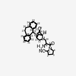 N#CC1CCCN1C(=O)C(N)CN1CC2C[C@H]1C(=O)N2C1c2ccccc2CCc2ccccc21